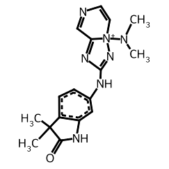 CN(C)[N+]12C=CN=CC1=NC(Nc1ccc3c(c1)NC(=O)C3(C)C)=N2